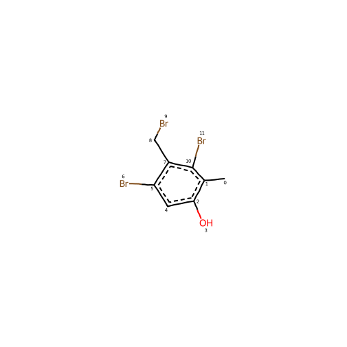 Cc1c(O)cc(Br)c(CBr)c1Br